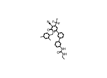 CCNC(=O)Nc1cccc(-c2cccc(-c3cc(C(F)(F)F)c(C#N)c(=O)n3Cc3ccc(C)cc3C)c2)c1